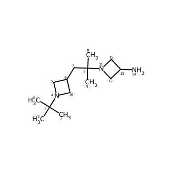 CC(C)(C)N1CC(CC(C)(C)N2CC(N)C2)C1